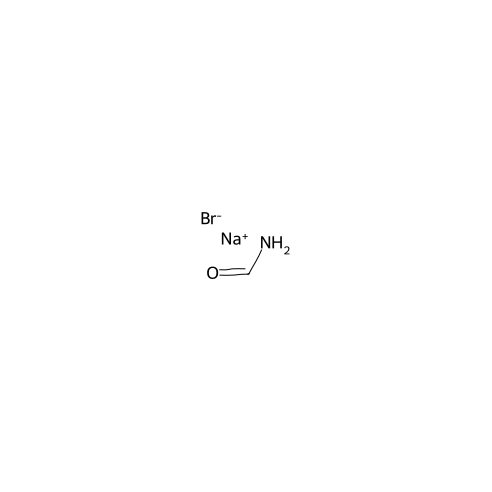 NC=O.[Br-].[Na+]